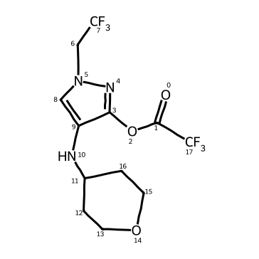 O=C(Oc1nn(CC(F)(F)F)cc1NC1CCOCC1)C(F)(F)F